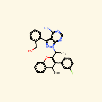 CC(C1=C(c2cccc(F)c2)C(C=O)c2ccccc2O1)n1nc(-c2ccccc2CO)c2c(N)ncnc21